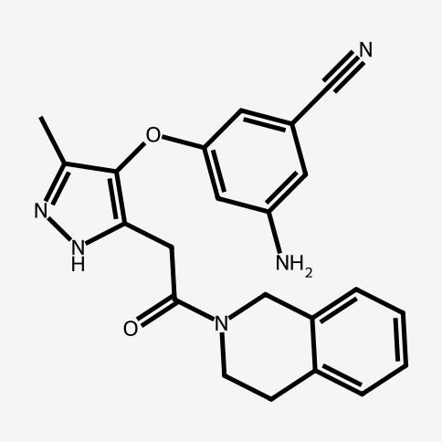 Cc1n[nH]c(CC(=O)N2CCc3ccccc3C2)c1Oc1cc(N)cc(C#N)c1